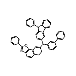 C1=C(N(c2cccc(-c3ccccc3)c2)c2ccc3c(c2)c2ccccc2n3-c2ccccc2)CCc2ccc3nc(-c4ccccc4)oc3c21